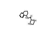 O=C(NC1CCCc2ccccc21)C1CNCCN1